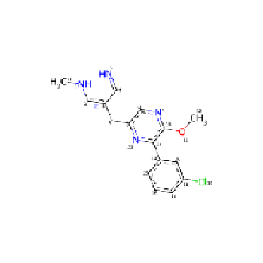 CN/C=C(\C=N)Cc1cnc(OC)c(-c2cccc(Cl)c2)n1